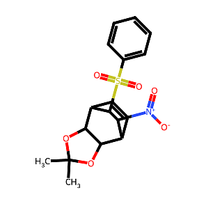 CC1(C)OC2C3C=CC(C2O1)C(S(=O)(=O)c1ccccc1)C3[N+](=O)[O-]